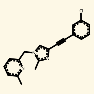 Cc1cccc(Cn2cc(C#Cc3cccc(Cl)c3)nc2C)n1